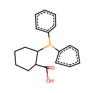 O=C(O)C1CCCCC1P(c1ccccc1)c1ccccc1